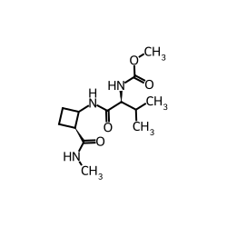 CNC(=O)[C@H]1CCC1NC(=O)[C@@H](NC(=O)OC)C(C)C